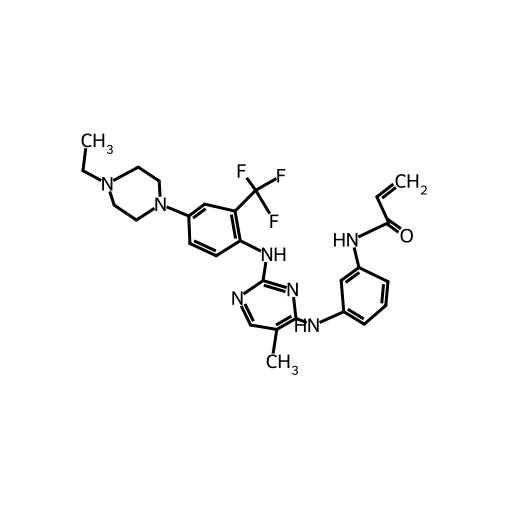 C=CC(=O)Nc1cccc(Nc2nc(Nc3ccc(N4CCN(CC)CC4)cc3C(F)(F)F)ncc2C)c1